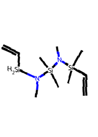 C=C[SiH2]N(C)[Si](C)(C)N(C)[Si](C)(C)C=C